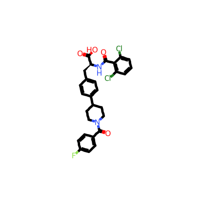 O=C(N[C@@H](Cc1ccc(C2CCN(C(=O)c3ccc(F)cc3)CC2)cc1)C(=O)O)c1c(Cl)cccc1Cl